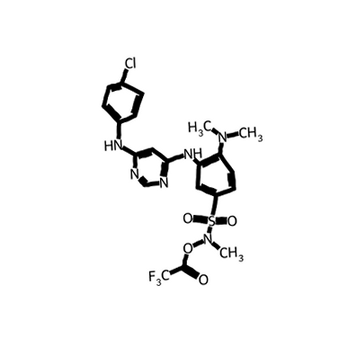 CN(C)c1ccc(S(=O)(=O)N(C)OC(=O)C(F)(F)F)cc1Nc1cc(Nc2ccc(Cl)cc2)ncn1